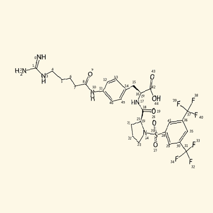 N=C(N)NCCCCC(=O)Nc1ccc(C[C@H](NC(=O)[C@@H]2CCCN2S(=O)(=O)c2cc(C(F)(F)F)cc(C(F)(F)F)c2)C(=O)O)cc1